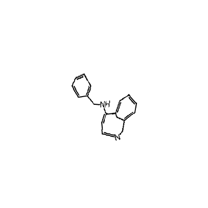 C1=NCc2ccccc2C(NCc2ccccc2)=C1